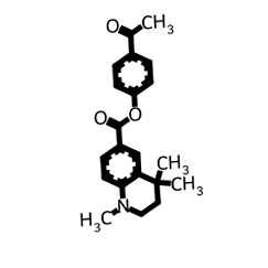 CC(=O)c1ccc(OC(=O)c2ccc3c(c2)C(C)(C)CCN3C)cc1